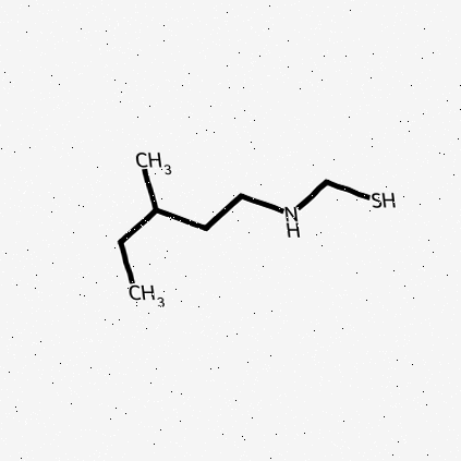 CCC(C)CCNCS